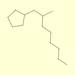 [CH2]C(CCCCCC)CC1CCCC1